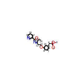 COC(=O)Cc1cccc(OCCc2nc(-c3cccnc3)oc2C)c1